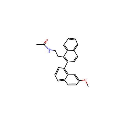 COc1ccc2cccc(-c3ccc4ccccc4c3CCNC(C)=O)c2c1